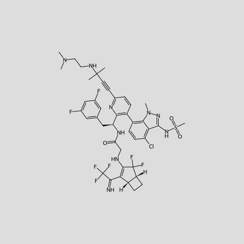 CN(C)CCNC(C)(C)C#Cc1ccc(-c2ccc(Cl)c3c(NS(C)(=O)=O)nn(C)c23)c([C@H](Cc2cc(F)cc(F)c2)NC(=O)CNC2=C(C(=N)C(F)(F)F)[C@H]3CC[C@H]3C2(F)F)n1